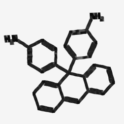 Nc1ccc(C2(c3ccc(N)cc3)C3=CCC=CC3=Cc3ccccc32)cc1